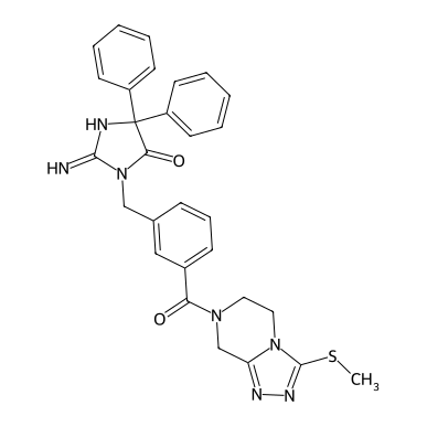 CSc1nnc2n1CCN(C(=O)c1cccc(CN3C(=N)NC(c4ccccc4)(c4ccccc4)C3=O)c1)C2